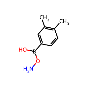 Cc1ccc(B(O)ON)cc1C